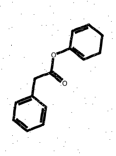 O=C(Cc1ccccc1)OC1=CCCC=C1